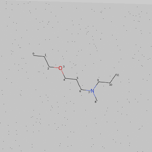 CCCOCCCN(C)CCC